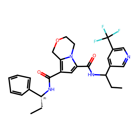 CCC(NC(=O)c1cc(C(=O)N[C@H](CC)c2ccccc2)c2n1CCOC2)c1cncc(C(F)(F)F)c1